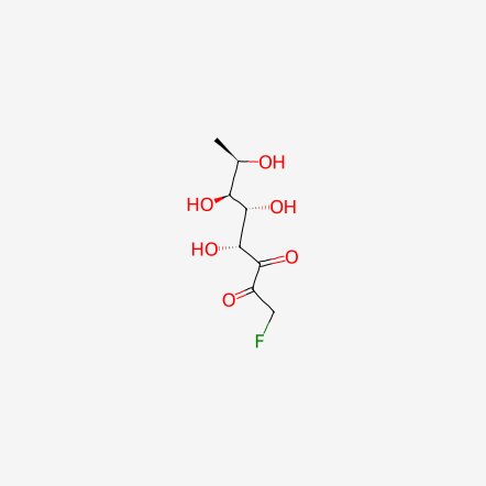 C[C@@H](O)[C@H](O)[C@H](O)[C@@H](O)C(=O)C(=O)CF